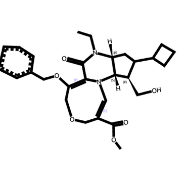 CCN1C(=O)/C2=C(\OCc3ccccc3)COC/C(C(=O)OC)=C\N2[C@H]2[C@H](CO)C(C3CCC3)C[C@H]21